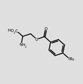 CC(C)(C)c1ccc(C(=O)OCC(N)C(=O)O)cc1